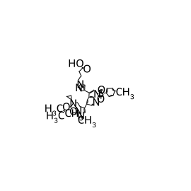 Cc1ccc(S(=O)(=O)n2cc(-c3cnn(CCCC(=O)O)c3)c3cc(-c4cn(C)nc4CN(C(=O)OC(C)(C)C)C4CC4)cnc32)cc1